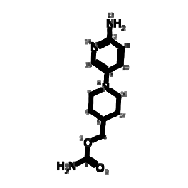 NC(=O)OCC1CCN(c2ccc(N)nc2)CC1